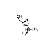 CCc1cc([SH](C)C)on1